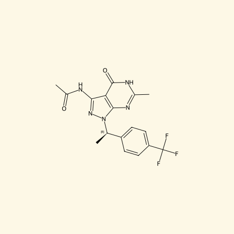 CC(=O)Nc1nn([C@H](C)c2ccc(C(F)(F)F)cc2)c2nc(C)[nH]c(=O)c12